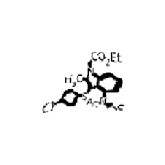 CCOC(=O)Cn1c(C)c(Sc2ccc(Cl)cc2)c2c(N(C(C)=O)C(C)=O)cccc21